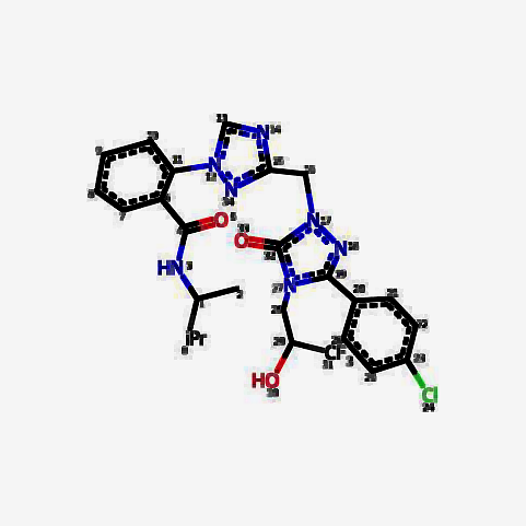 CC(C)C(C)NC(=O)c1ccccc1-n1cnc(Cn2nc(-c3ccc(Cl)cc3)n(CC(O)C(F)(F)F)c2=O)n1